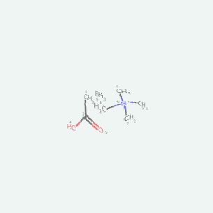 B.CC(=O)O.C[N+](C)(C)C